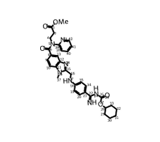 COC(=O)CCN(C(=O)c1ccc2c(c1)nc(CNc1ccc(C(=N)NC(=O)OC3CCCCC3)cc1)n2C)c1ccccn1